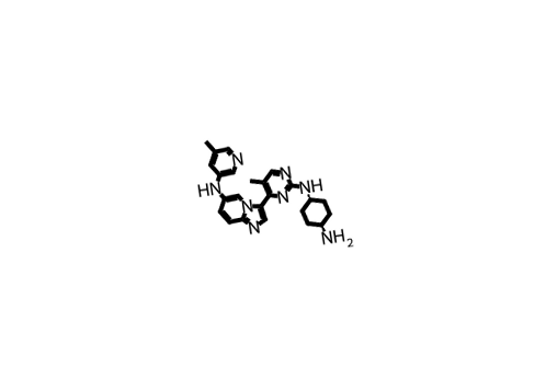 Cc1cncc(Nc2ccc3ncc(-c4nc(N[C@H]5CC[C@H](N)CC5)ncc4C)n3c2)c1